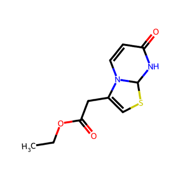 CCOC(=O)CC1=CSC2NC(=O)C=CN12